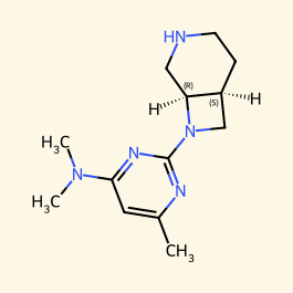 Cc1cc(N(C)C)nc(N2C[C@@H]3CCNC[C@@H]32)n1